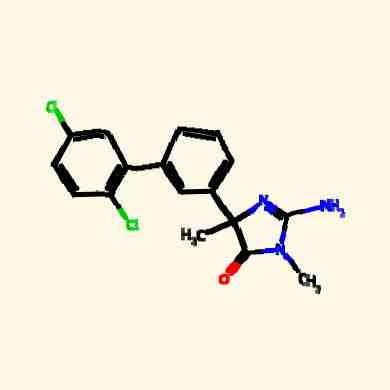 CN1C(=O)C(C)(c2cccc(-c3cc(Cl)ccc3Cl)c2)N=C1N